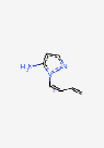 C=C/C=C\n1nccc1N